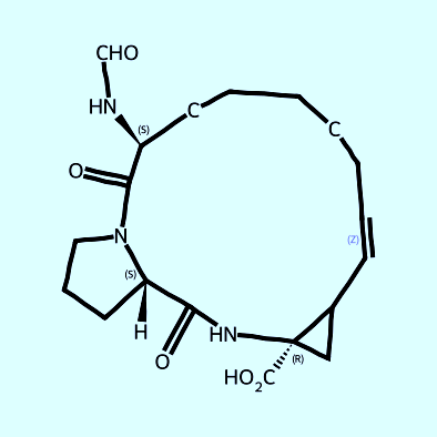 O=CN[C@H]1CCCCC/C=C\C2C[C@@]2(C(=O)O)NC(=O)[C@@H]2CCCN2C1=O